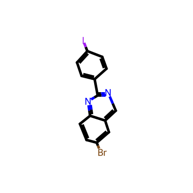 Brc1ccc2nc(-c3ccc(I)cc3)ncc2c1